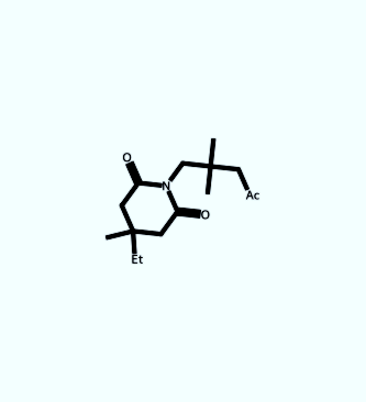 CCC1(C)CC(=O)N(CC(C)(C)CC(C)=O)C(=O)C1